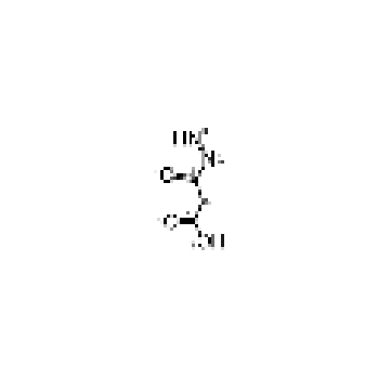 N=NC(=O)CC(=O)O